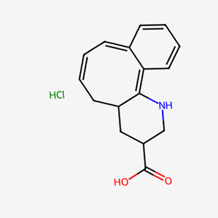 Cl.O=C(O)C1CN/C2=c3\ccccc3=CC=CCC2C1